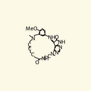 COc1ccc2cc1CN(C)CCCCCCC(=O)NCCN(C)c1ncnc3c1/C(=C/N2)C(=O)N3